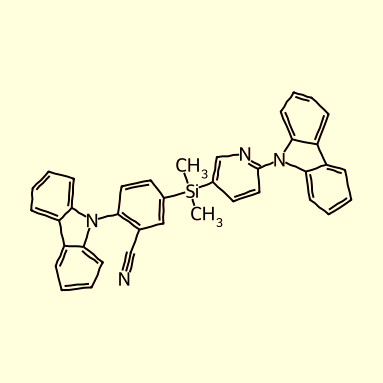 C[Si](C)(c1ccc(-n2c3ccccc3c3ccccc32)nc1)c1ccc(-n2c3ccccc3c3ccccc32)c(C#N)c1